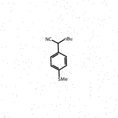 CCCCC(C#N)c1ccc(SC)cc1